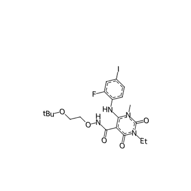 CCn1c(=O)c(C(=O)NOCCOC(C)(C)C)c(Nc2ccc(I)cc2F)n(C)c1=O